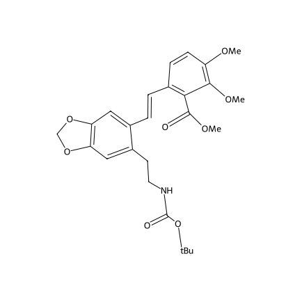 COC(=O)c1c(/C=C/c2cc3c(cc2CCNC(=O)OC(C)(C)C)OCO3)ccc(OC)c1OC